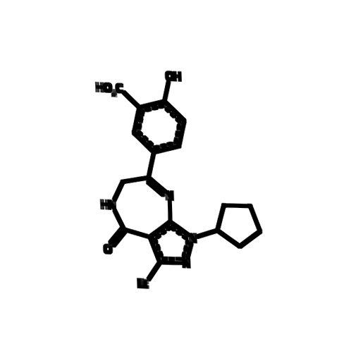 CCc1nn(C2CCCC2)c2c1C(=O)NCC(c1ccc(O)c(C(=O)O)c1)=N2